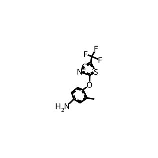 Cc1cc(N)ccc1Oc1ncc(C(F)(F)F)s1